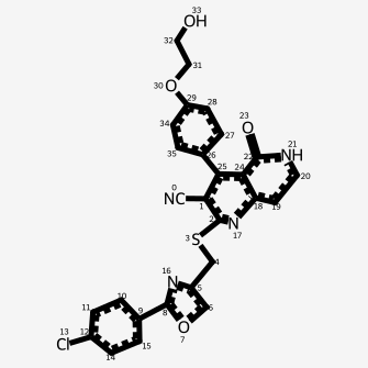 N#Cc1c(SCc2coc(-c3ccc(Cl)cc3)n2)nc2cc[nH]c(=O)c2c1-c1ccc(OCCO)cc1